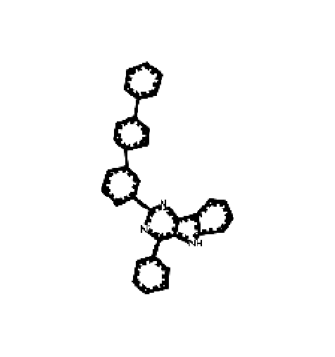 c1ccc(-c2ccc(-c3cccc(-c4nc(-c5ccccc5)c5[nH]c6ccccc6c5n4)c3)cc2)cc1